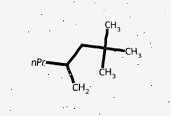 [CH2]C(CCC)CC(C)(C)C